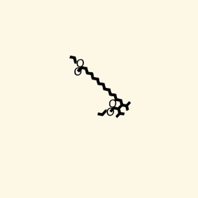 CCCOC(=O)CCCCCCCCCCCCCC(C(C)C)C(C(=O)OCCC)C(C)C